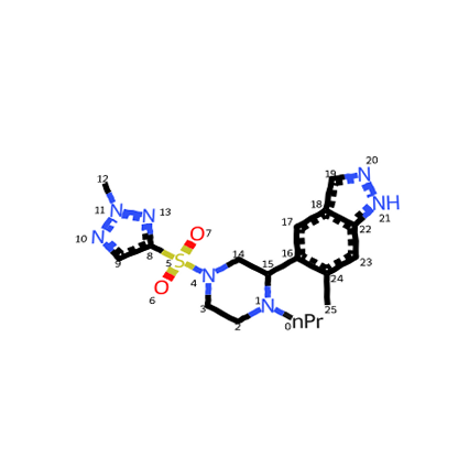 CCCN1CCN(S(=O)(=O)c2cnn(C)n2)CC1c1cc2cn[nH]c2cc1C